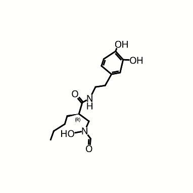 CCCC[C@H](CN(O)C=O)C(=O)NCCc1ccc(O)c(O)c1